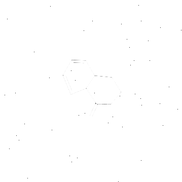 O=C1CCCC2C=C[C]=CC12